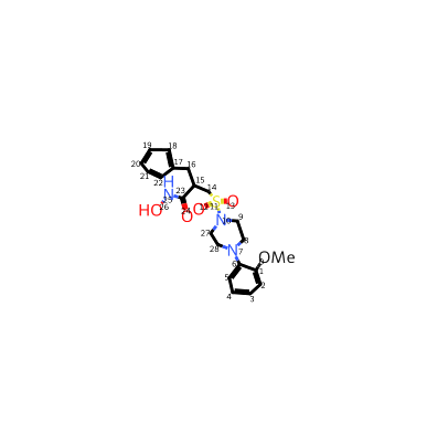 COc1ccccc1N1CCN(S(=O)(=O)CC(Cc2ccccc2)C(=O)NO)CC1